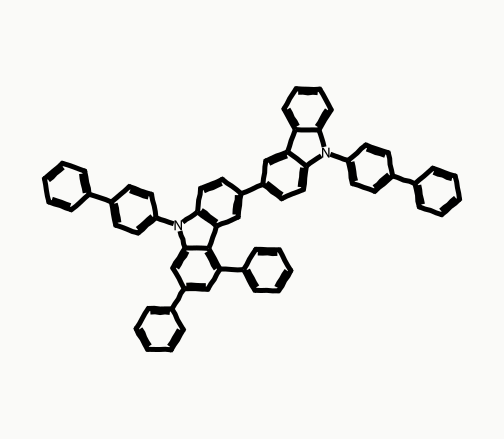 c1ccc(-c2ccc(-n3c4ccccc4c4cc(-c5ccc6c(c5)c5c(-c7ccccc7)cc(-c7ccccc7)cc5n6-c5ccc(-c6ccccc6)cc5)ccc43)cc2)cc1